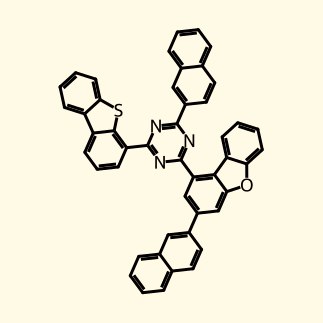 c1ccc2cc(-c3cc(-c4nc(-c5ccc6ccccc6c5)nc(-c5cccc6c5sc5ccccc56)n4)c4c(c3)oc3ccccc34)ccc2c1